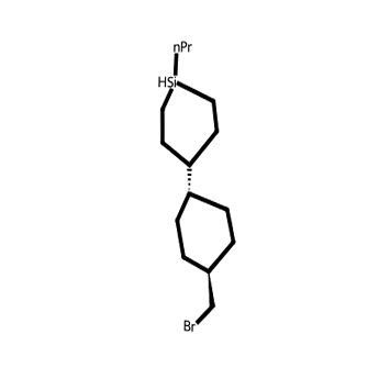 CCC[SiH]1CCC([C@H]2CC[C@H](CBr)CC2)CC1